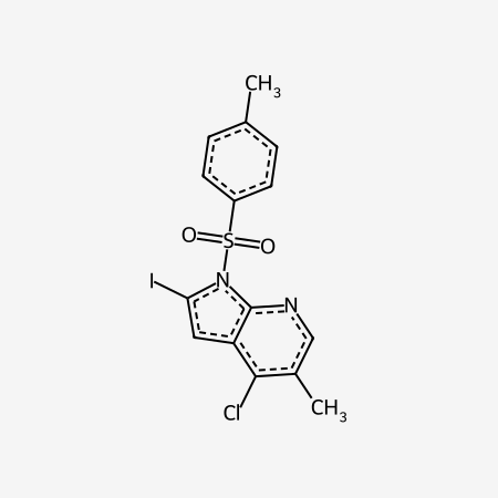 Cc1ccc(S(=O)(=O)n2c(I)cc3c(Cl)c(C)cnc32)cc1